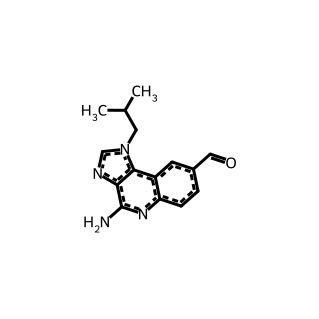 CC(C)Cn1cnc2c(N)nc3ccc(C=O)cc3c21